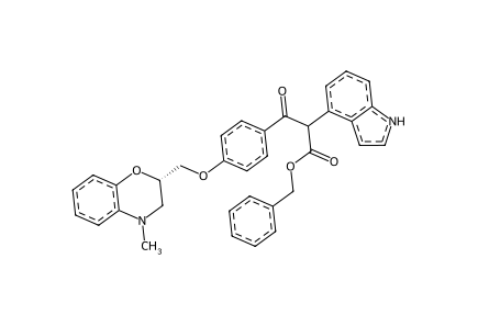 CN1C[C@@H](COc2ccc(C(=O)C(C(=O)OCc3ccccc3)c3cccc4[nH]ccc34)cc2)Oc2ccccc21